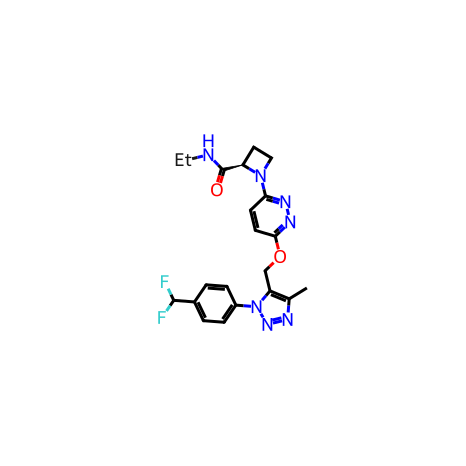 CCNC(=O)[C@H]1CCN1c1ccc(OCc2c(C)nnn2-c2ccc(C(F)F)cc2)nn1